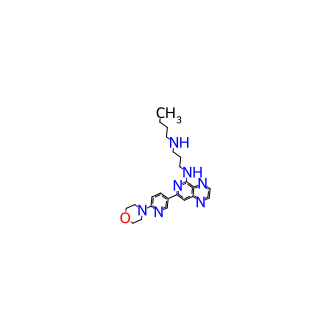 CCCCNCCCNc1nc(-c2ccc(N3CCOCC3)nc2)cc2nccnc12